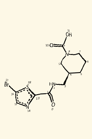 O=C(NC[C@@H]1CCCN(C(=O)O)C1)c1ncc(Br)s1